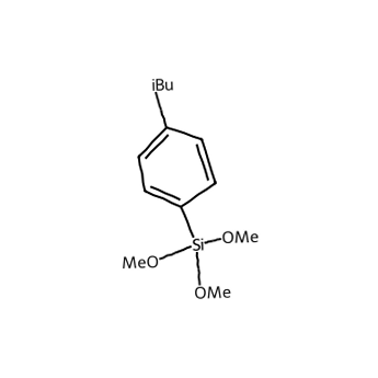 CCC(C)c1ccc([Si](OC)(OC)OC)cc1